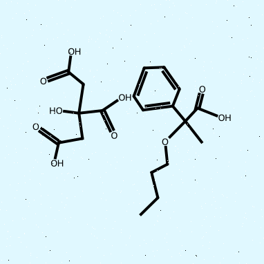 CCCCOC(C)(C(=O)O)c1ccccc1.O=C(O)CC(O)(CC(=O)O)C(=O)O